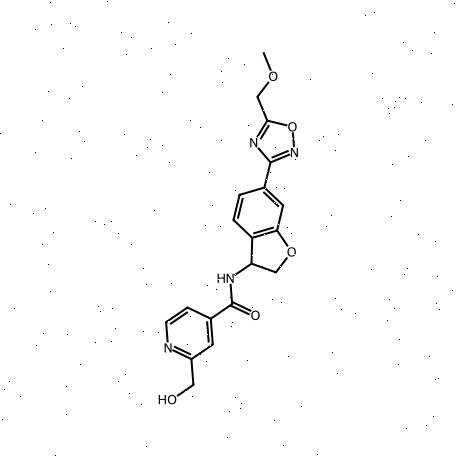 COCc1nc(-c2ccc3c(c2)OCC3NC(=O)c2ccnc(CO)c2)no1